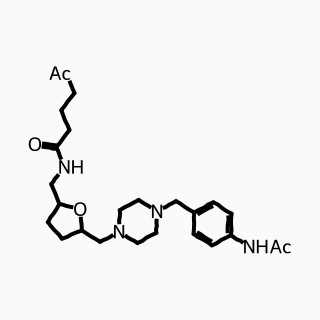 CC(=O)CCCC(=O)NCC1CCC(CN2CCN(Cc3ccc(NC(C)=O)cc3)CC2)O1